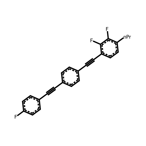 CCCc1ccc(C#Cc2ccc(C#Cc3ccc(F)cc3)cc2)c(F)c1F